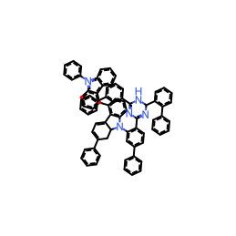 C1=C(c2ccccc2)CC2C(=C1)c1c(-c3cccc4c3c3ccccc3n4-c3ccccc3)cccc1N2c1cc(-c2ccccc2)ccc1C1=NC(c2ccccc2-c2ccccc2)NC(c2cccc(-c3ccccc3)c2)=N1